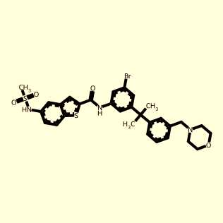 CC(C)(c1cccc(CN2CCOCC2)c1)c1cc(Br)cc(NC(=O)c2cc3cc(NS(C)(=O)=O)ccc3s2)c1